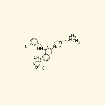 Cc1noc(C)c1-c1ccc2cc(N3CCN(CCN(C)C)CC3)nc(NCc3cccc(Cl)c3)c2c1